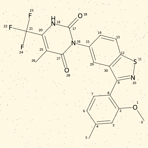 COc1cc(C)ccc1-c1nsc2ccc(-n3c(=O)[nH]c(C(F)(F)F)c(C)c3=O)cc12